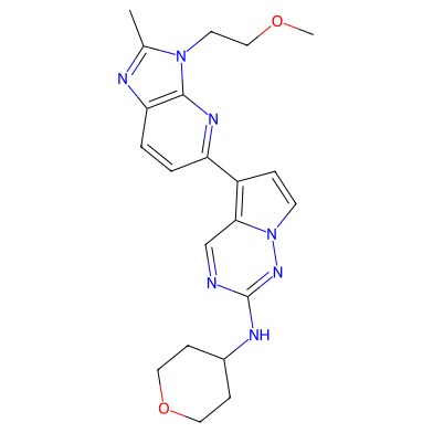 COCCn1c(C)nc2ccc(-c3ccn4nc(NC5CCOCC5)ncc34)nc21